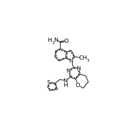 Cc1cc2c(C(N)=O)cccc2n1-c1nc2c(c(NCc3cccs3)n1)OCCC2